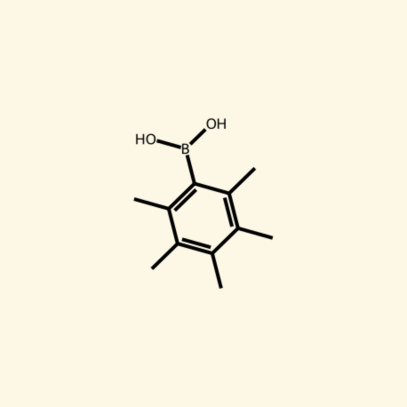 Cc1c(C)c(C)c(B(O)O)c(C)c1C